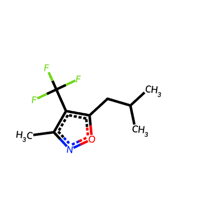 Cc1noc(CC(C)C)c1C(F)(F)F